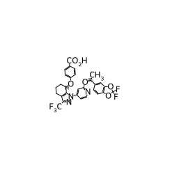 C[C@H](Oc1cc(-n2nc(C(F)(F)F)c3c2[C@H](Oc2ccc(C(=O)O)cc2)CCC3)ccn1)c1ccc2c(c1)OC(F)(F)O2